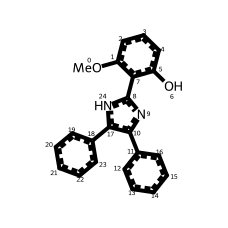 COc1cccc(O)c1-c1nc(-c2ccccc2)c(-c2ccccc2)[nH]1